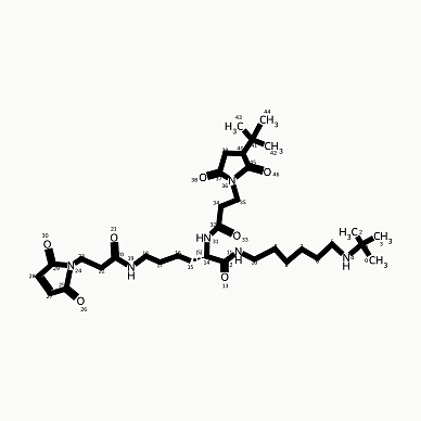 CC(C)(C)NCCCCCCNC(=O)[C@H](CCCCNC(=O)CCN1C(=O)C=CC1=O)NC(=O)CCN1C(=O)CC(C(C)(C)C)C1=O